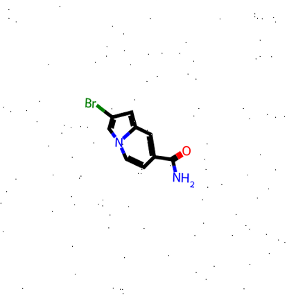 NC(=O)c1ccn2cc(Br)cc2c1